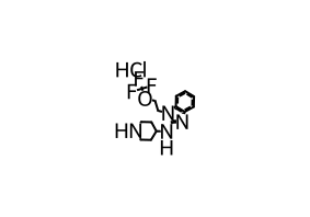 Cl.FC(F)(F)OCCn1c(NC2CCNCC2)nc2ccccc21